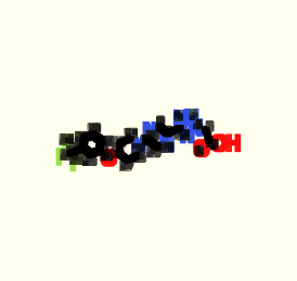 O=C(O)Cn1nnc(-c2cnc(N3CCC(Oc4cccc(C(F)(F)F)c4)CC3)cn2)n1